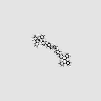 c1ccc(C(=C(c2ccccc2)c2ccc(-c3ccc(-c4nnc(-c5ccc(-c6ccc(C(=C(c7ccccc7)c7ccccc7)c7ccccc7)cc6)cc5)[nH]4)cc3)cc2)c2ccccc2)cc1